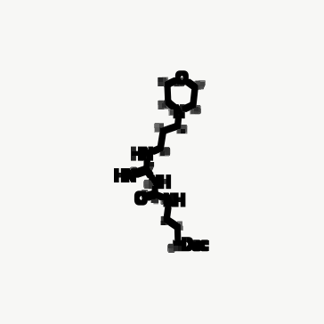 CCCCCCCCCCCCNC(=O)NC(=N)NCCCN1CCOCC1